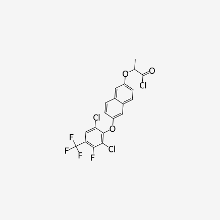 CC(Oc1ccc2cc(Oc3c(Cl)cc(C(F)(F)F)c(F)c3Cl)ccc2c1)C(=O)Cl